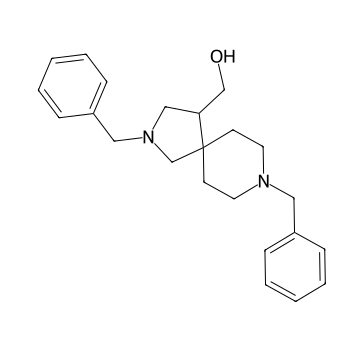 OCC1CN(Cc2ccccc2)CC12CCN(Cc1ccccc1)CC2